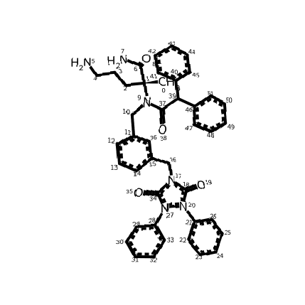 C[C@@](CCCN)(C(N)=O)N(Cc1cccc(Cn2c(=O)n(-c3ccccc3)n(-c3ccccc3)c2=O)c1)C(=O)C(c1ccccc1)c1ccccc1